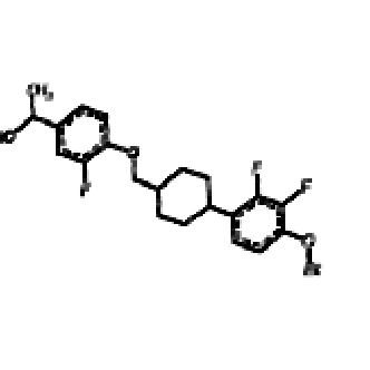 CCOc1ccc(C2CCC(COc3ccc(C(C)O)cc3F)CC2)c(F)c1F